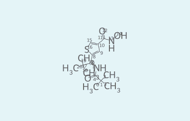 CC(C)(C)C(=O)N[C@H](c1cc(C(=O)NO)cs1)C(C)(C)C